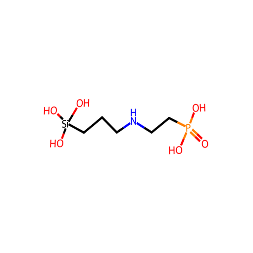 O=P(O)(O)CCNCCC[Si](O)(O)O